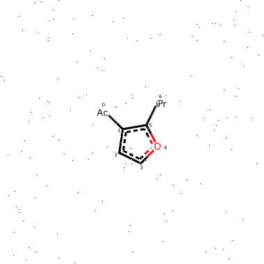 CC(=O)c1ccoc1C(C)C